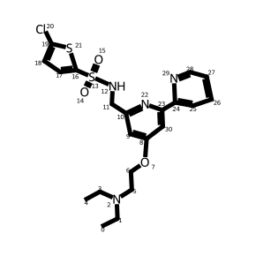 CCN(CC)CCOc1cc(CNS(=O)(=O)c2ccc(Cl)s2)nc(-c2ccccn2)c1